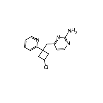 Nc1nccc(CC2(c3ccccn3)CC(Cl)C2)n1